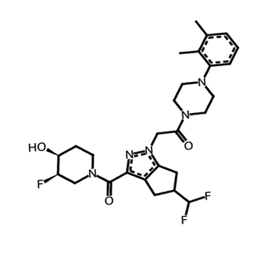 Cc1cccc(N2CCN(C(=O)Cn3nc(C(=O)N4CC[C@H](O)[C@H](F)C4)c4c3CC(C(F)F)C4)CC2)c1C